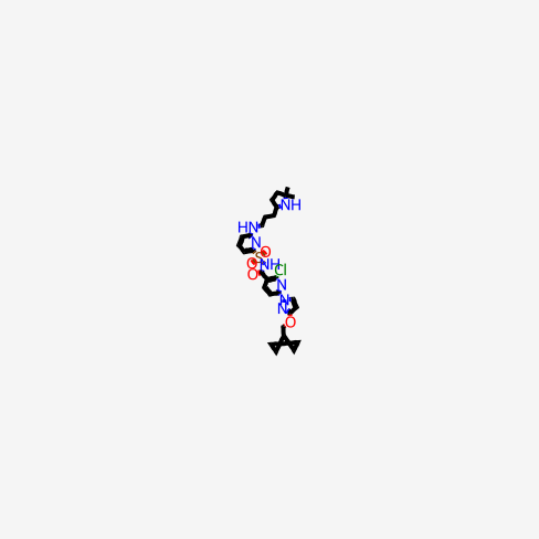 CC1(C)CCC(CCCNc2cccc(S(=O)(=O)NC(=O)c3ccc(-n4ccc(OCC5C6(CC6)C56CC6)n4)nc3Cl)n2)N1